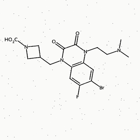 CN(C)CCn1c(=O)c(=O)n(CC2CN(C(=O)O)C2)c2cc(F)c(Br)cc21